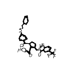 O=C(c1ccc(SCCc2ccccc2)cc1)C1CCC(Cn2nnc3ccc(C(F)(F)F)cc3c2=O)C1C(=O)O